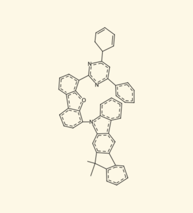 CC1(C)c2ccccc2-c2cc3c4ccccc4n(-c4cccc5c4oc4c(-c6nc(-c7ccccc7)cc(C7C=CC=CC7)n6)cccc45)c3cc21